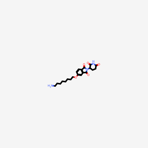 NCCCCCCCCOc1ccc2c(c1)C(=O)N(C1CCC(=O)NC1=O)C2=O